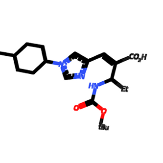 CCC(NC(=O)OC(C)(C)C)C(=Cc1cn(C2CCC(C)CC2)cn1)C(=O)O